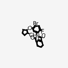 CC1CCCC1Oc1cc(N2C(=O)C3=CC(CCC3)C2=O)c(F)cc1Br